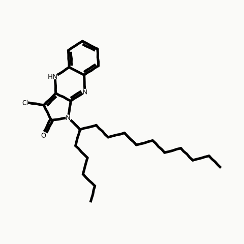 CCCCCCCCCCC(CCCCC)n1c2nc3ccccc3[nH]c-2c(Cl)c1=O